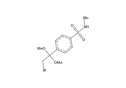 COC(CBr)(OC)c1ccc(S(=O)(=O)NC(C)(C)C)cc1